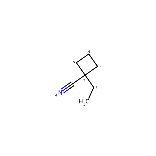 C[CH]C1(C#N)CCC1